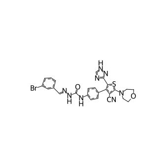 N#Cc1c(N2CCOCC2)sc(-c2nc[nH]n2)c1-c1ccc(NC(=O)N/N=C/c2cccc(Br)c2)cc1